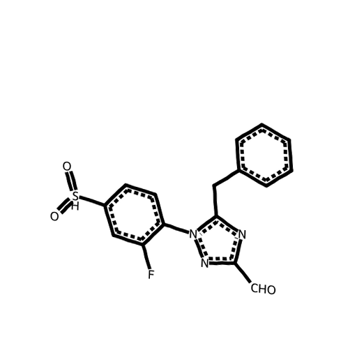 O=Cc1nc(Cc2ccccc2)n(-c2ccc([SH](=O)=O)cc2F)n1